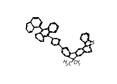 CC1(C)c2ccc(-c3ccc(-c4c5ccccc5c(C5=CC=CC6C=CC=CC56)c5ccccc45)cc3)cc2-c2cc3c(ccc4sc5ccccc5c43)cc21